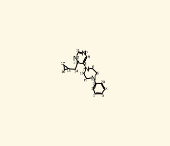 c1ccc(N2CCN(c3cncnc3CC3CC3)CC2)cc1